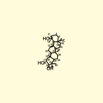 CC(=O)[C@]12CC[C@@H](C)[C@@](C)(O)C1C1=CCC3[C@@]4(C)C[C@@H](O)[C@H](O)C(C)(C)C4CC[C@@]3(C)[C@]1(C)CC2